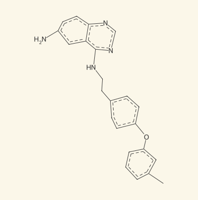 Cc1cccc(Oc2ccc(CCNc3ncnc4ccc(N)cc34)cc2)c1